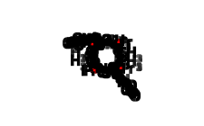 CC(C)C[C@H]1C(=O)O[C@H](Cc2cccc(Cn3cc(S(=O)(=O)N4CCOCC4)cn3)c2)C(=O)N(C)[C@@H](CC(C)C)C(=O)O[C@H](C)C(=O)N(C)[C@@H](CC(C)C)C(=O)O[C@H](Cc2ccc(Cn3cc(S(=O)(=O)N4CCOCC4)cn3)cc2)C(=O)N(C)[C@@H](CC(C)C)C(=O)O[C@H](C)C(=O)N1C